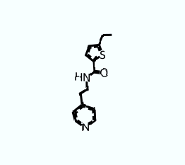 CCc1ccc(C(=O)NCCc2ccncc2)s1